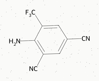 N#Cc1cc(C#N)c(N)c(C(F)(F)F)c1